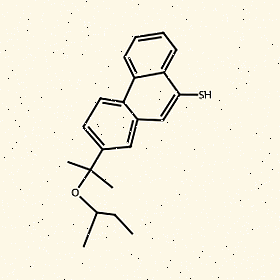 CCC(C)OC(C)(C)c1ccc2c(c1)cc(S)c1ccccc12